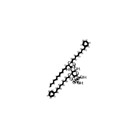 CCCCCCCCCCCCC(OC(=O)CCCCCCCCc1ccccc1)C(=O)N[C@@H]1[C@@H](OC(=O)CCCCCCCCc2ccccc2)[C@H](OS(=O)(=O)O)[C@@H](CO)O[C@@H]1O